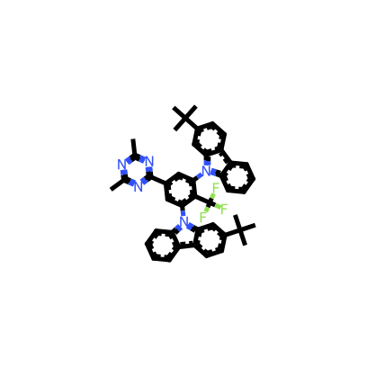 Cc1nc(C)nc(-c2cc(-n3c4ccccc4c4ccc(C(C)(C)C)cc43)c(C(F)(F)F)c(-n3c4ccccc4c4ccc(C(C)(C)C)cc43)c2)n1